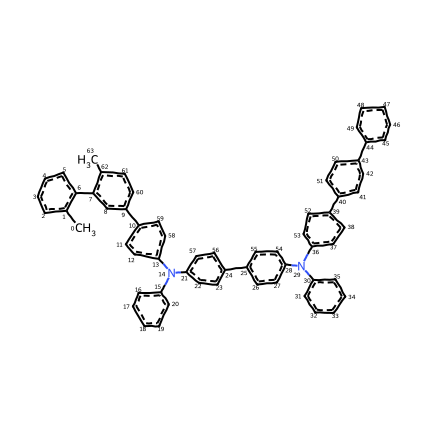 Cc1ccccc1-c1cc(-c2ccc(N(c3ccccc3)c3ccc(-c4ccc(N(c5ccccc5)c5ccc(-c6ccc(-c7ccccc7)cc6)cc5)cc4)cc3)cc2)ccc1C